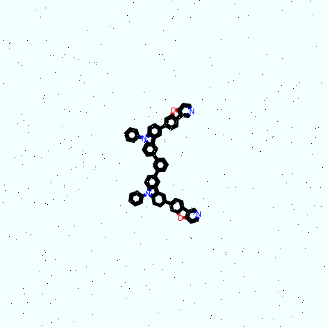 C1=C(C2=CC=C3c4cnccc4OC3C2)CCc2c1c1cc(-c3cccc(-c4ccc5c(c4)c4cc(-c6ccc7c(c6)oc6ccncc67)ccc4n5-c4ccccc4)c3)ccc1n2-c1ccccc1